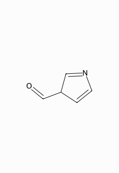 O=CC1C=CN=C1